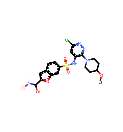 CCOC1CCN(c2nnc(Cl)cc2NS(=O)(=O)c2ccc3cc(C(O)NO)oc3c2)CC1